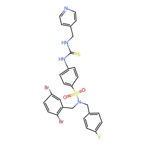 O=S(=O)(c1ccc(NC(=S)NCc2ccncc2)cc1)N(Cc1ccc(F)cc1)Cc1cc(Br)ccc1Br